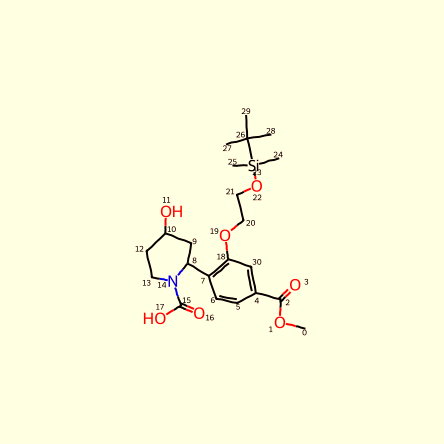 COC(=O)c1ccc(C2CC(O)CCN2C(=O)O)c(OCCO[Si](C)(C)C(C)(C)C)c1